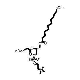 CCCCCCCCCCCCCCCCCCCCC(=O)OC[C@H](COP(=O)([O-])OCC[N+](C)(C)C)OC(=O)CCCCCCCCCCC